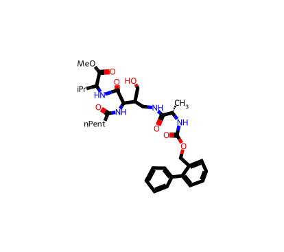 CCCCCC(=O)NC(C(=O)NC(C(=O)OC)C(C)C)C(CO)CNC(=O)[C@H](C)NC(=O)OCc1ccccc1-c1ccccc1